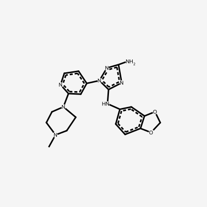 CN1CCN(c2cc(-n3nc(N)nc3Nc3ccc4c(c3)OCO4)ccn2)CC1